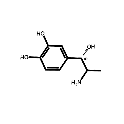 CC(N)[C@@H](O)c1ccc(O)c(O)c1